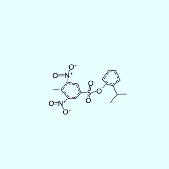 Cc1c([N+](=O)[O-])cc(S(=O)(=O)Oc2ccccc2C(C)C)cc1[N+](=O)[O-]